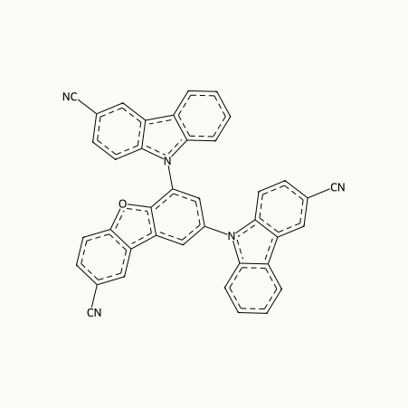 N#Cc1ccc2oc3c(-n4c5ccccc5c5cc(C#N)ccc54)cc(-n4c5ccccc5c5cc(C#N)ccc54)cc3c2c1